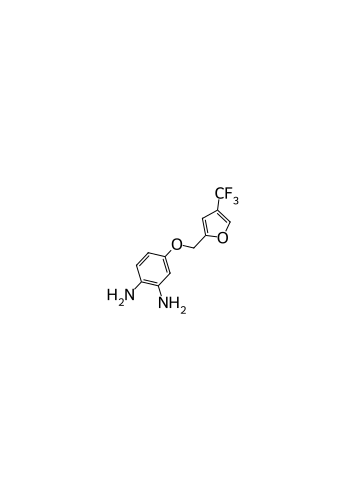 Nc1ccc(OCc2cc(C(F)(F)F)co2)cc1N